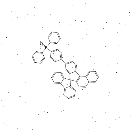 O=P(c1ccccc1)(c1ccccc1)c1ccc(-c2ccc3c(c2)C2(c4ccccc4-c4ccccc42)c2ccc4ccccc4c2-3)cc1